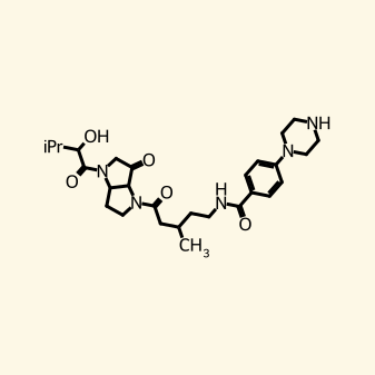 CC(CCNC(=O)c1ccc(N2CCNCC2)cc1)CC(=O)N1CCC2C1C(=O)CN2C(=O)C(O)C(C)C